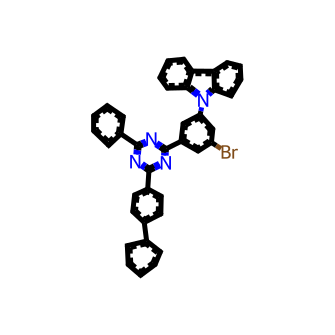 Brc1cc(-c2nc(-c3ccccc3)nc(-c3ccc(-c4ccccc4)cc3)n2)cc(-n2c3ccccc3c3ccccc32)c1